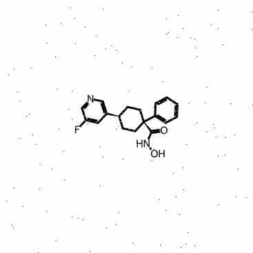 O=C(NO)[C@]1(c2ccccc2)CC[C@H](c2cncc(F)c2)CC1